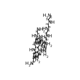 NCCN.NCCNCCN.NCCNCCNCCN.NCCNCCNCCNCCN.NCCNCCNCCNCCNCCN